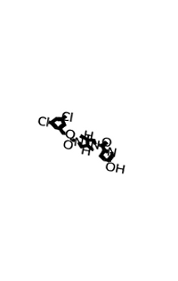 O=C(OCc1cc(Cl)cc(Cl)c1)N1C[C@@H]2CN(C(=O)c3ccc(O)cn3)C[C@@H]2C1